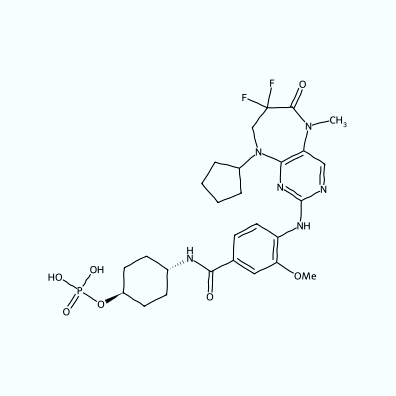 COc1cc(C(=O)N[C@H]2CC[C@H](OP(=O)(O)O)CC2)ccc1Nc1ncc2c(n1)N(C1CCCC1)CC(F)(F)C(=O)N2C